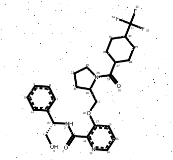 O=C(N[C@H](CO)c1ccccc1)c1ncccc1OCC1CCCN1C(=O)C1CCC(C(F)(F)F)CC1